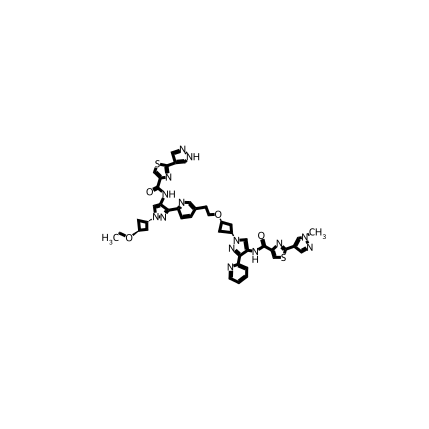 CCO[C@H]1C[C@H](n2cc(NC(=O)c3csc(-c4cn[nH]c4)n3)c(-c3ccc(CCO[C@H]4C[C@@H](n5cc(NC(=O)c6csc(-c7cnn(C)c7)n6)c(-c6ccccn6)n5)C4)cn3)n2)C1